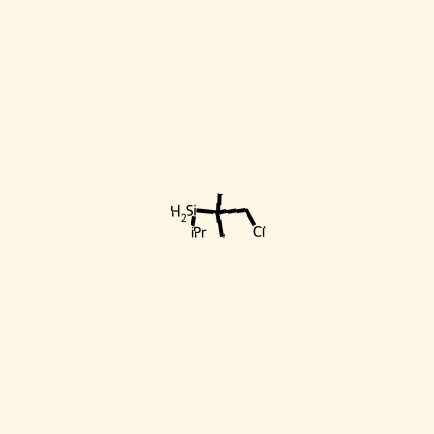 CC(C)[SiH2]C(C)(C)CCl